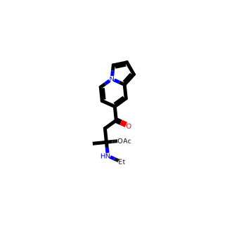 CCNC(C)(CC(=O)c1ccn2cccc2c1)OC(C)=O